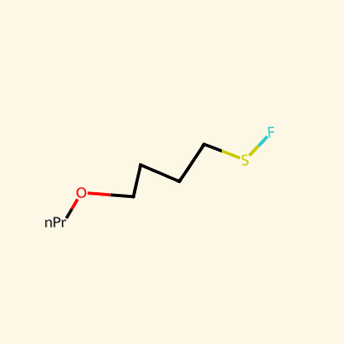 CCCOCCCCSF